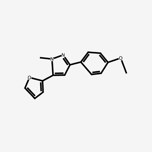 COc1ccc(-c2cc(-c3ccco3)n(C)n2)cc1